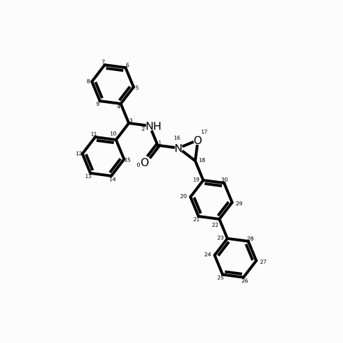 O=C(NC(c1ccccc1)c1ccccc1)N1OC1c1ccc(-c2ccccc2)cc1